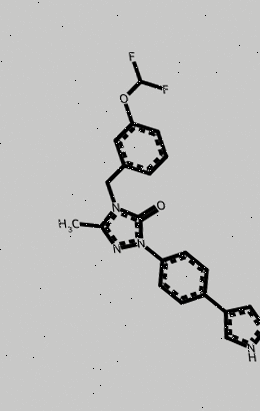 Cc1nn(-c2ccc(-c3cn[nH]c3)cc2)c(=O)n1Cc1cccc(OC(F)F)c1